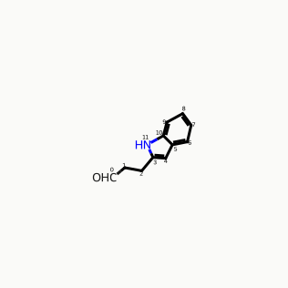 O=CCCc1cc2ccccc2[nH]1